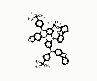 CC(C)(C)c1ccc(N(c2ccc3c(c2)N(c2cccc4c2oc2ccccc24)c2cc(C(C)(C)C)cc4c2B3c2cc3cocc3cc2N4c2ccc(C(C)(C)C)cc2)c2ccc3sc4ccccc4c3c2)cc1